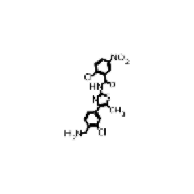 Cc1sc(NC(=O)c2cc([N+](=O)[O-])ccc2Cl)nc1-c1ccc(CN)c(Cl)c1